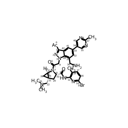 CC(=O)c1nn(CC(=O)N2[C@H](C(=O)Nc3nc(Br)ccc3C)C[C@@]3(CN(C)C)C[C@@H]23)c2c(CN)cc(-c3cnc(C)nc3)cc12